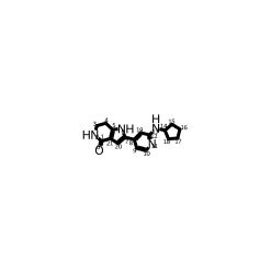 O=C1NCCc2[nH]c(-c3ccnc(NC4CCCC4)c3)cc21